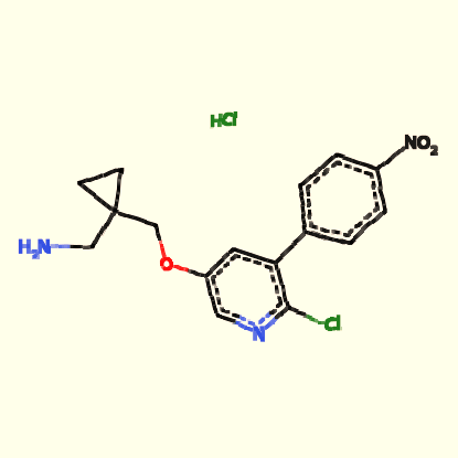 Cl.NCC1(COc2cnc(Cl)c(-c3ccc([N+](=O)[O-])cc3)c2)CC1